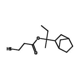 CCC(C)(OC(=O)CCS)C1CC2CCC1C2